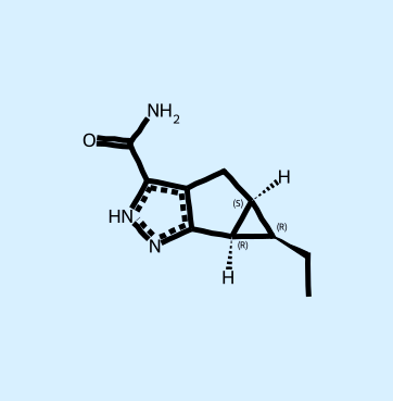 CC[C@@H]1[C@@H]2Cc3c(n[nH]c3C(N)=O)[C@H]12